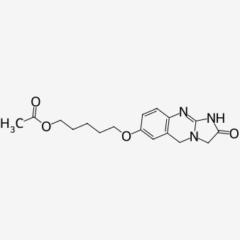 CC(=O)OCCCCCOc1ccc2c(c1)CN1CC(=O)NC1=N2